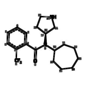 O=C(c1ccccc1C(F)(F)F)N(C1CCCCCC1)[C@H]1CCNC1